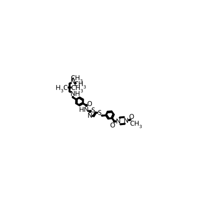 CC(=O)N1CCN(C(=O)c2cccc(CSc3cnc(NC(=O)c4ccc(CNCC(C)(C)CN(C)C)cc4)s3)c2)CC1